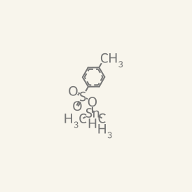 Cc1ccc(S(=O)(=O)[O][SnH]([CH3])[CH3])cc1